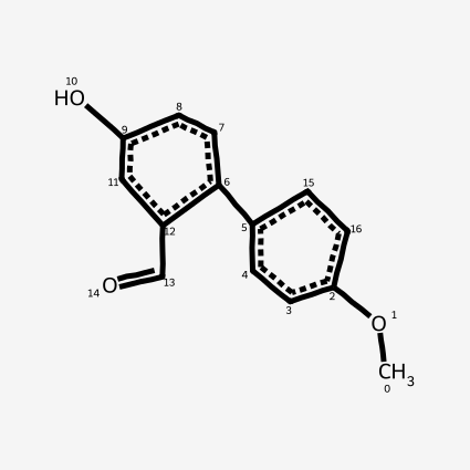 COc1ccc(-c2ccc(O)cc2C=O)cc1